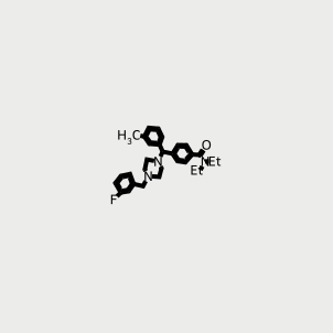 CCN(CC)C(=O)c1ccc(C(c2cccc(C)c2)N2CCN(Cc3cccc(F)c3)CC2)cc1